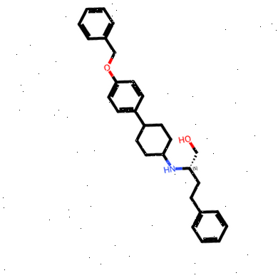 OC[C@H](CCc1ccccc1)NC1CCC(c2ccc(OCc3ccccc3)cc2)CC1